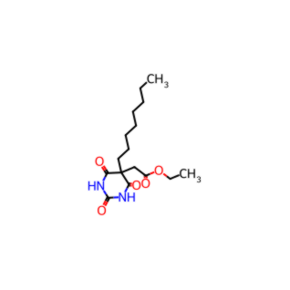 CCCCCCCCC1(CC(=O)OCC)C(=O)NC(=O)NC1=O